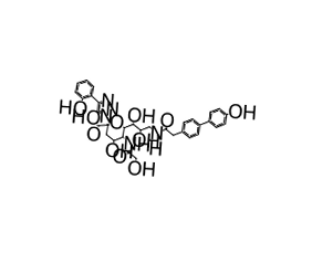 O=C(Cc1ccc(-c2ccc(O)cc2)cc1)NC[C@@H](O)[C@@H](O)[C@@H]1O[C@](C(=O)O)(n2cc(-c3ccccc3O)nn2)C[C@H](O)[C@H]1NC(=O)CO